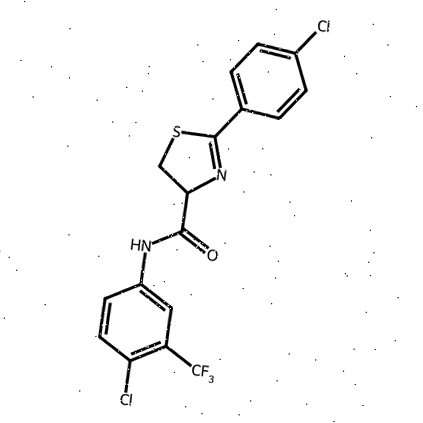 O=C(Nc1ccc(Cl)c(C(F)(F)F)c1)C1CSC(c2ccc(Cl)cc2)=N1